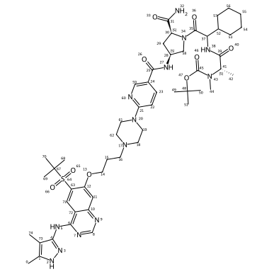 Cc1[nH]nc(Nc2ncnc3cc(OCCCN4CCN(c5ccc(C(=O)N[C@H]6C[C@@H](C(N)=O)N(C(=O)C(NC(=O)[C@H](C)N(C)C(=O)OC(C)(C)C)C7CCCCC7)C6)cn5)CC4)c(S(=O)(=O)C(C)(C)C)cc23)c1C